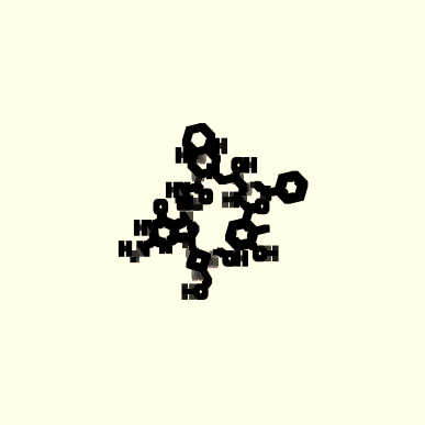 Cc1c(O)cccc1C(=O)N[C@@H](CSc1ccccc1)[C@H](O)CN1C[C@H]2CCCC[C@H]2C[C@H]1C(=O)NC(C)(C)C.Nc1nc2c(ncn2[C@@H]2C[C@H](CO)[C@H]2CO)c(=O)[nH]1